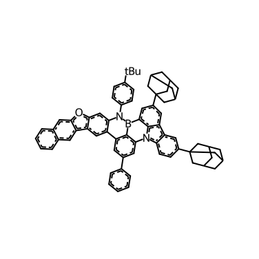 CC(C)(C)c1ccc(N2B3c4c(cc(-c5ccccc5)cc4-n4c5ccc(C67CC8CC(CC(C8)C6)C7)cc5c5cc(C67CC8CC(CC(C8)C6)C7)cc3c54)-c3cc4c(cc32)oc2cc3ccccc3cc24)cc1